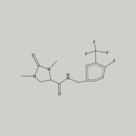 CN1CC(C(=O)NCc2ccc(F)c(C(F)(F)F)c2)N(C)C1=O